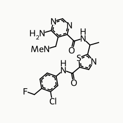 CNCc1c(N)ncnc1C(=O)NC(C)c1ncc(C(=O)Nc2ccc(CF)c(Cl)c2)s1